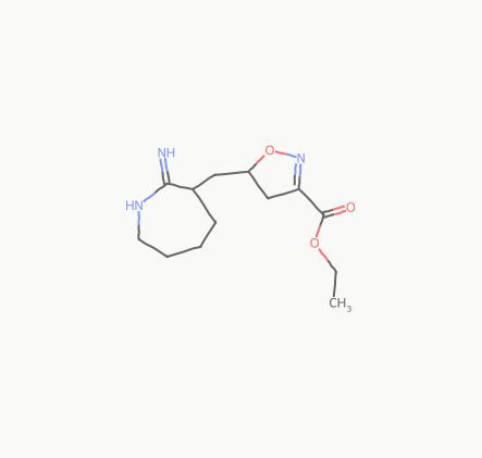 CCOC(=O)C1=NOC(CC2CCCCNC2=N)C1